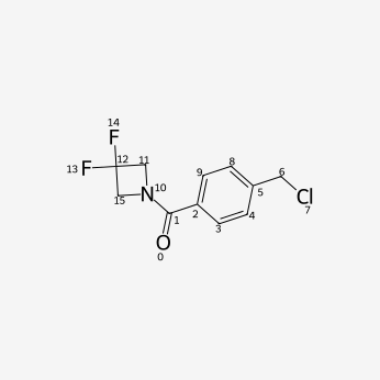 O=C(c1ccc(CCl)cc1)N1CC(F)(F)C1